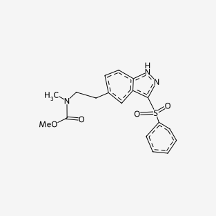 COC(=O)N(C)CCc1ccc2[nH]nc(S(=O)(=O)c3ccccc3)c2c1